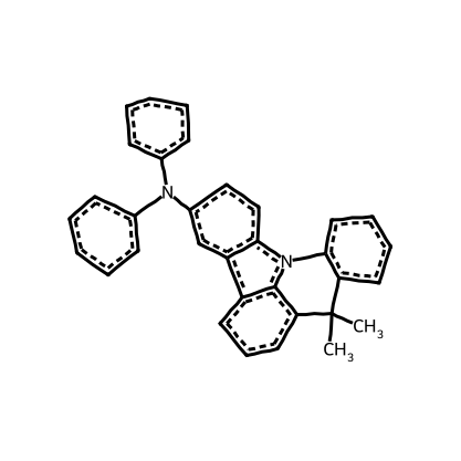 CC1(C)c2ccccc2-n2c3ccc(N(c4ccccc4)c4ccccc4)cc3c3cccc1c32